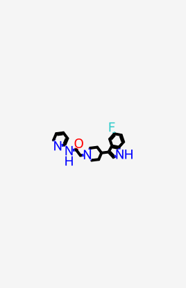 O=C(CN1CCC(c2c[nH]c3ccc(F)cc23)CC1)Nc1ccccn1